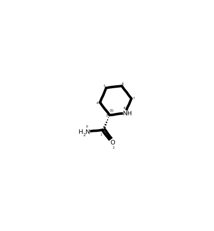 NC(=O)[C@@H]1CCCCN1